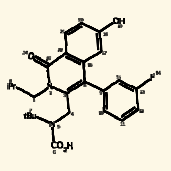 CC(C)Cn1c(CN(C(=O)O)C(C)(C)C)c(-c2cccc(F)c2)c2cc(O)ccc2c1=O